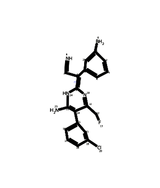 Bc1cccc(/C(C=N)=C2\N=C(CF)C(c3cccc(Cl)c3)=C(N)N2)c1